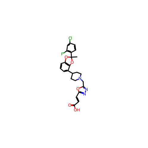 CC1(c2ccc(Cl)cc2F)Oc2cccc(C3CCN(Cc4nnc(/C=C/C(=O)O)o4)CC3)c2O1